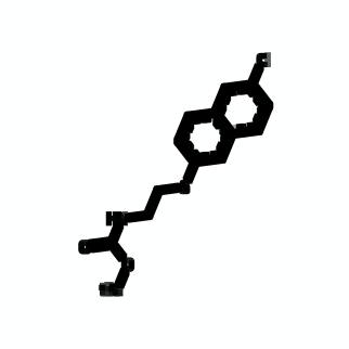 CC(C)(C)OC(=O)NCCSc1ccc2cc(Cl)ccc2c1